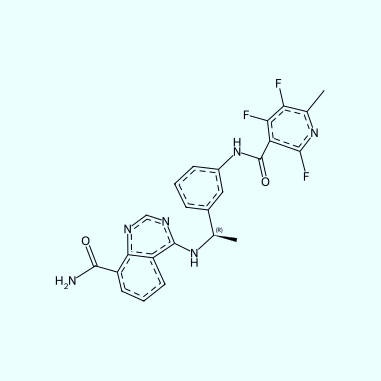 Cc1nc(F)c(C(=O)Nc2cccc([C@@H](C)Nc3ncnc4c(C(N)=O)cccc34)c2)c(F)c1F